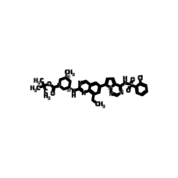 CCc1cc(-c2ccc3c(NS(=O)(=O)c4ccccc4Cl)ncnn23)cc2cnc(N[C@H]3C[C@@H](C)CN(C(=O)OC(C)(C)C)C3)nc12